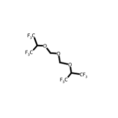 FC(F)(F)C(OCOCOC(C(F)(F)F)C(F)(F)F)C(F)(F)F